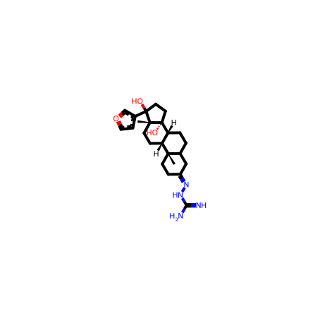 C[C@]12CCC(=NNC(=N)N)CC1CC[C@@H]1[C@H]2CC[C@]2(C)C(O)(c3ccoc3)CC[C@@]12O